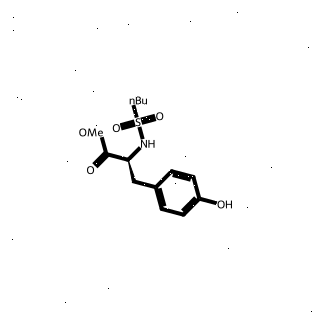 CCCCS(=O)(=O)N[C@@H](Cc1ccc(O)cc1)C(=O)OC